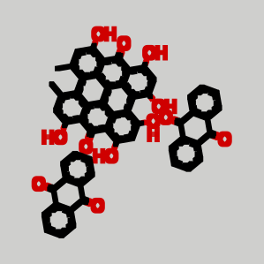 Cc1cc(O)c2c(=O)c3c(O)cc(O)c4c5c(O)cc(O)c6c(=O)c7c(O)cc(C)c8c1c2c(c34)c(c78)c65.O=C1c2ccccc2C(=O)c2ccccc21.O=C1c2ccccc2C(=O)c2ccccc21